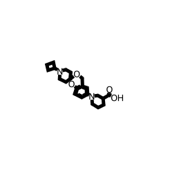 O=C(O)C1CCCN(c2ccc3c(c2)COC2(CCN(C4CCC4)CC2)O3)C1